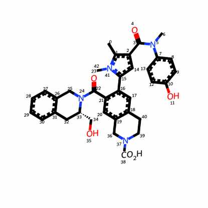 Cc1c(C(=O)N(C)c2ccc(O)cc2)cc(-c2cc3c(cc2C(=O)N2Cc4ccccc4C[C@H]2CO)CN(C(=O)O)CC3)n1C